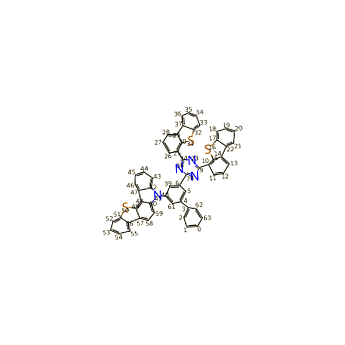 c1ccc(-c2cc(-c3nc(-c4cccc5c4sc4ccccc45)nc(-c4cccc5c4sc4ccccc45)n3)cc(-n3c4ccccc4c4c5sc6ccccc6c5ccc43)c2)cc1